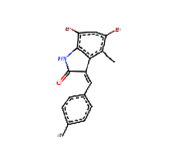 Cc1c(Br)cc(Br)c2c1C(=Cc1ccc(C(C)C)cc1)C(=O)N2